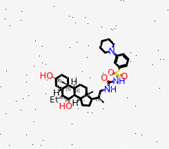 CC[C@H]1[C@@H](O)C2[C@H](CC[C@]3(C)C([C@H](C)CNC(=O)NS(=O)(=O)c4cccc(N5CCCCC5)c4)CC[C@@H]23)[C@@]2(C)CC[C@@H](O)C[C@@H]12